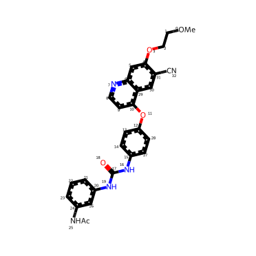 COCCOc1cc2nccc(Oc3ccc(NC(=O)Nc4cccc(NC(C)=O)c4)cc3)c2cc1C#N